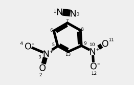 N#N.O=[N+]([O-])c1cccc([N+](=O)[O-])c1